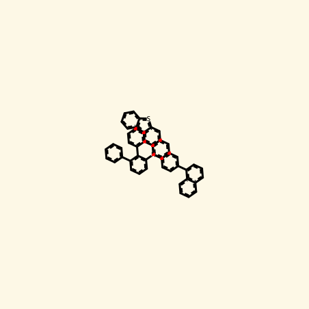 c1ccc(-c2ccccc2-c2c(-c3ccccc3)cccc2N(c2ccc(-c3cccc4ccccc34)cc2)c2ccc3sc4ccccc4c3c2)cc1